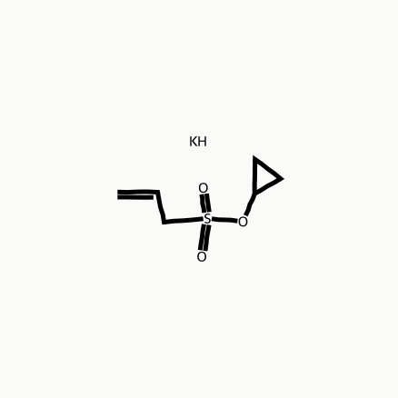 C=CCS(=O)(=O)OC1CC1.[KH]